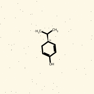 CC(C)[C@H]1C=CC(O)=CC1